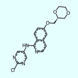 Clc1ncc(Nc2nccc3cc(OC[C@@H]4COCCO4)ccc23)cn1